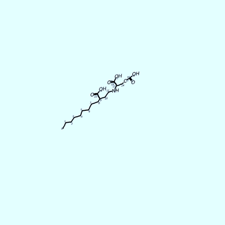 CCCCCCCCCC(CCNC(CCC(=O)O)C(=O)O)C(=O)O